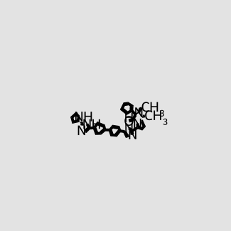 CCN(CC)[C@@H](C(=O)N1CCCC1c1ncc(-c2ccc(-c3ccc(-c4cnc([C@@H]5CCCN5)[nH]4)cc3)cc2)[nH]1)c1ccccc1